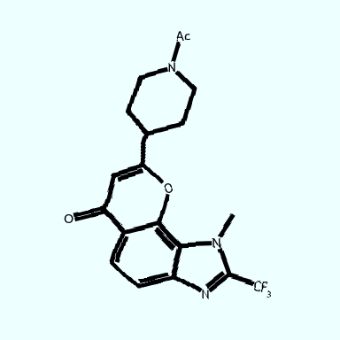 CC(=O)N1CCC(c2cc(=O)c3ccc4nc(C(F)(F)F)n(C)c4c3o2)CC1